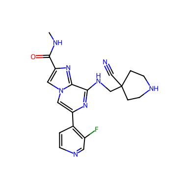 CNC(=O)c1cn2cc(-c3ccncc3F)nc(NCC3(C#N)CCNCC3)c2n1